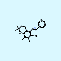 Cc1c(C)c2c(c(/C=C/c3cccnc3)c1O)CCC(C)(C)O2